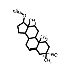 CCCCOC1CCC2C3CC=C4C[C@@](C)(N=O)CCC4(C)C3CCC12C